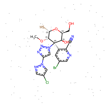 CO[C@@H]1[C@H](S)O[C@@H](CO)[C@@H](O)[C@@]1(c1cc(Br)cnc1C#N)n1cc(-n2cc(Cl)cn2)nn1